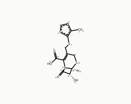 Cc1ncsc1SCC1=C(C(=O)O)N2C(=O)[C@@H](O)[C@@H]2SC1